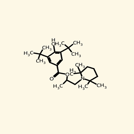 CC(CN1C(C)(C)CCCC1(C)C)OC(=O)c1cc(C(C)(C)C)c(O)c(C(C)(C)C)c1